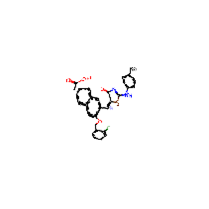 CC(=O)O.O=C1N=C(Nc2cc[c]([Na])cc2)S/C1=C/c1cc2ccccc2cc1OCc1ccccc1F